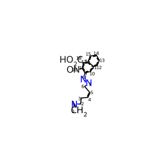 C=NCC/C=C\C/N=N/c1cc2ccccc2c(C(=O)O)c1N=O